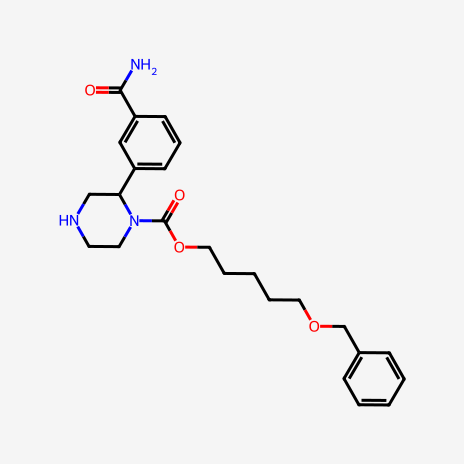 NC(=O)c1cccc(C2CNCCN2C(=O)OCCCCCOCc2ccccc2)c1